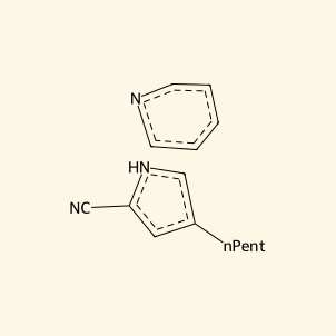 CCCCCc1c[nH]c(C#N)c1.c1ccncc1